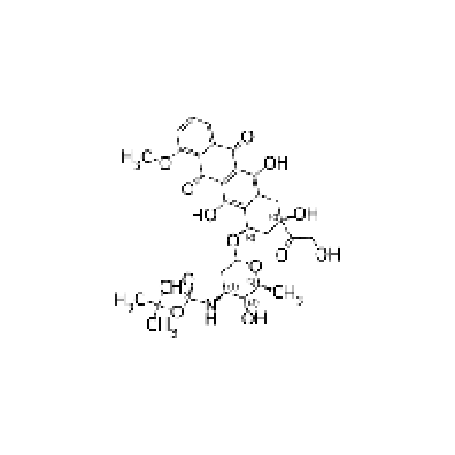 COc1cccc2c1C(=O)c1c(O)c3c(c(O)c1C2=O)C[C@](O)(C(=O)CO)C[C@H]3OC1C[C@H](NC(=O)OC(C)(C)C)[C@H](O)[C@H](C)O1